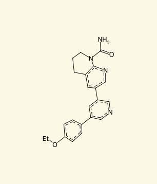 CCOc1ccc(-c2cncc(-c3cnc4c(c3)CCCN4C(N)=O)c2)cc1